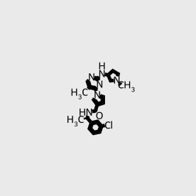 Cc1cnc(NC2CCN(C)C2)nc1-n1ccc(C(=O)N[C@H](C)c2cccc(Cl)c2)c1